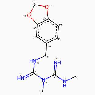 CNC(=N)N(C)C(=N)NCc1ccc2c(c1)OCO2